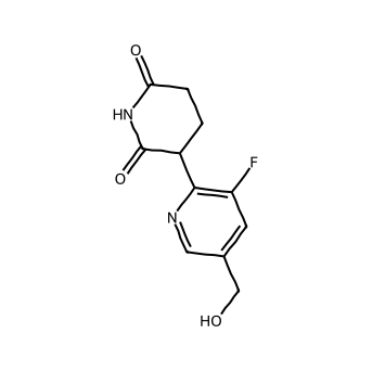 O=C1CCC(c2ncc(CO)cc2F)C(=O)N1